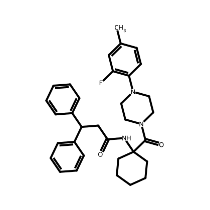 Cc1ccc(N2CCN(C(=O)C3(NC(=O)CC(c4ccccc4)c4ccccc4)CCCCC3)CC2)c(F)c1